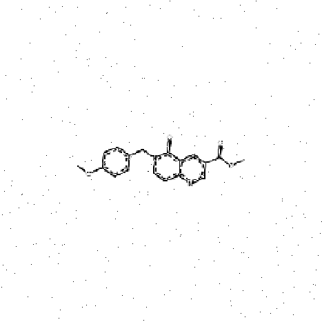 COC(=O)c1cnc2ccn(Cc3ccc(OC)cc3)c(=O)c2c1